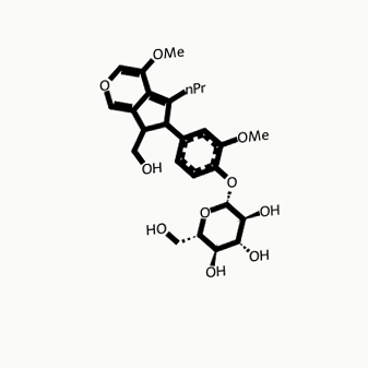 [CH2]CCC1=C2C(OC)=COC=C2C(CO)C1c1ccc(O[C@H]2O[C@@H](CO)[C@H](O)[C@@H](O)[C@@H]2O)c(OC)c1